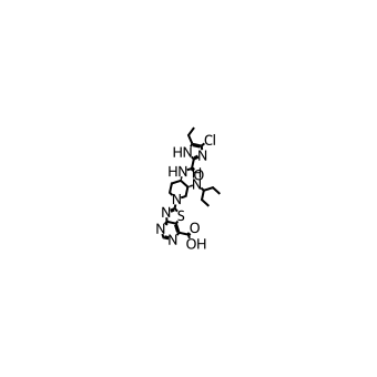 CCc1[nH]c(C(=O)N[C@@H]2CCN(c3nc4ncnc(C(=O)O)c4s3)C[C@@H]2NC(CC)CC)nc1Cl